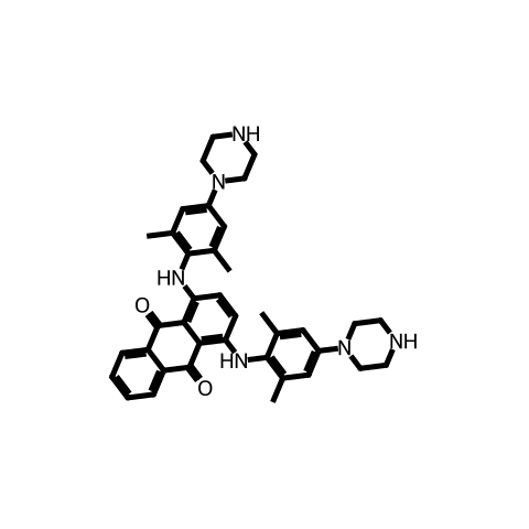 Cc1cc(N2CCNCC2)cc(C)c1Nc1ccc(Nc2c(C)cc(N3CCNCC3)cc2C)c2c1C(=O)c1ccccc1C2=O